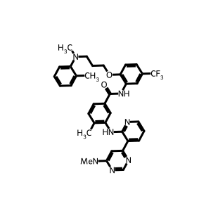 CNc1cc(-c2cccnc2Nc2cc(C(=O)Nc3cc(C(F)(F)F)ccc3OCCCN(C)c3ccccc3C)ccc2C)ncn1